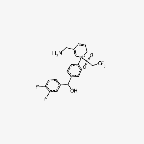 NCC1=C[N+](c2ccc(C(O)c3ccc(F)c(F)c3)cc2)(S(=O)(=O)CC(F)(F)F)CC=C1